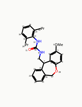 COc1ccc2c(c1)C(CNC(=O)Nc1c(C(C)C)cccc1C(C)C)c1ccccc1CO2